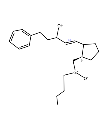 CCCC[S+]([O-])C[C@@H]1CCCC1/C=C/C(O)CCc1ccccc1